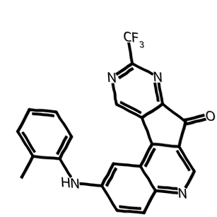 Cc1ccccc1Nc1ccc2ncc3c(c2c1)-c1cnc(C(F)(F)F)nc1C3=O